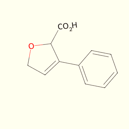 O=C(O)C1OCC=C1c1ccccc1